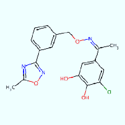 CC(=NOCc1cccc(-c2noc(C)n2)c1)c1cc(O)c(O)c(Cl)c1